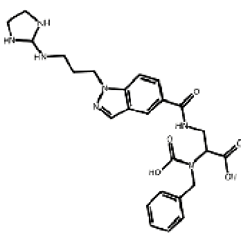 O=C(NCC(C(=O)O)N(Cc1ccccc1)C(=O)O)c1ccc2c(cnn2CCCNC2NCCN2)c1